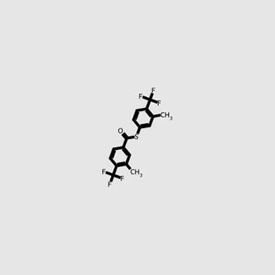 Cc1cc(SC(=O)c2ccc(C(F)(F)F)c(C)c2)ccc1C(F)(F)F